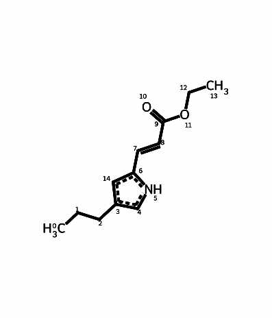 CCCc1c[nH]c(/C=C/C(=O)OCC)c1